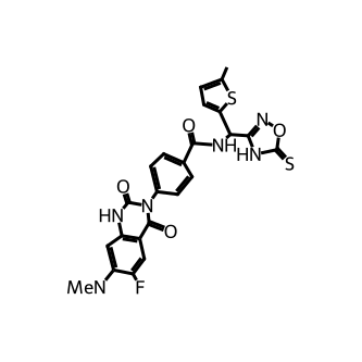 CNc1cc2[nH]c(=O)n(-c3ccc(C(=O)NC(c4noc(=S)[nH]4)c4ccc(C)s4)cc3)c(=O)c2cc1F